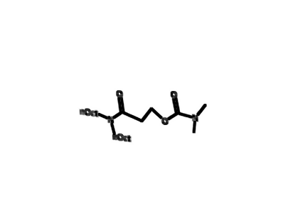 CCCCCCCCN(CCCCCCCC)C(=O)CCOC(=O)N(C)C